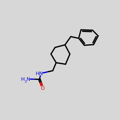 NC(=O)NCC1CCC(Cc2ccccc2)CC1